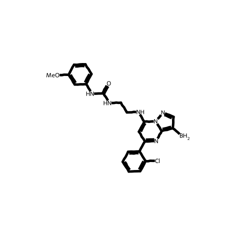 Bc1cnn2c(NCCNC(=O)Nc3cccc(OC)c3)cc(-c3ccccc3Cl)nc12